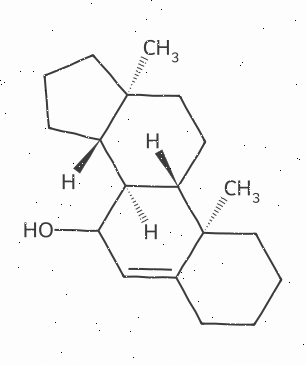 C[C@@]12CCC[C@H]1[C@@H]1C(O)C=C3CCCC[C@]3(C)[C@H]1CC2